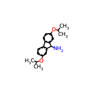 CC(C)Oc1ccc2c(c1)C(N)c1cc(OC(C)C)ccc1-2